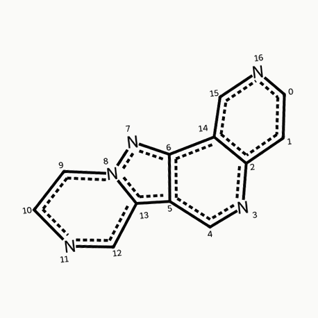 c1cc2ncc3c(nn4ccncc34)c2cn1